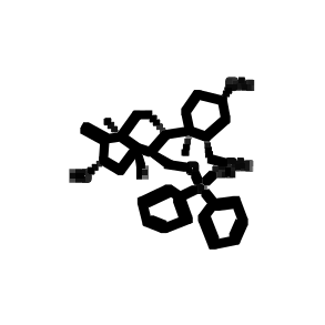 C=C1[C@@H](O)C[C@H]2[C@H](CO[Si](c3ccccc3)(c3ccccc3)C(C)(C)C)[C@@H]([C@@]3(C)CC[C@H](OC(C)=O)C[C@@H]3COC(C)=O)CC[C@]12C